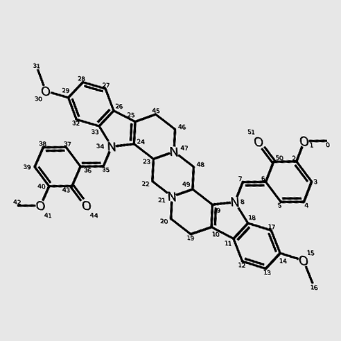 COC1=CC=C/C(=C\n2c3c(c4ccc(OC)cc42)CCN2CC4c5c(c6ccc(OC)cc6n5/C=C5\C=CC=C(OC)C5=O)CCN4CC32)C1=O